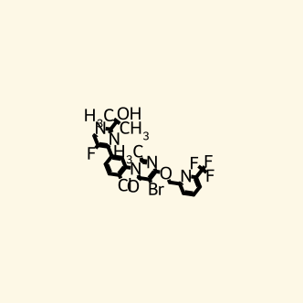 Cc1nc(OCc2cccc(C(F)(F)F)n2)c(Br)c(=O)n1-c1cc(-c2nc(C(C)(C)O)ncc2F)ccc1Cl